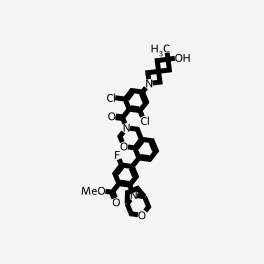 COC(=O)c1cc(F)c(-c2cccc3c2OCN(C(=O)c2c(Cl)cc(N4CC5(C4)CC(C)(O)C5)cc2Cl)C3)cc1N1C2CCC1COC2